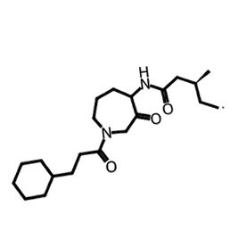 [CH2]C[C@H](C)CC(=O)NC1CCCN(C(=O)CCC2CCCCC2)CC1=O